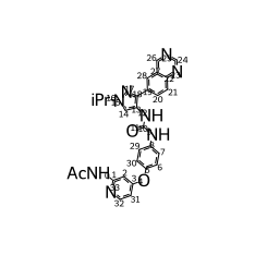 CC(=O)Nc1cc(Oc2ccc(NC(=O)Nc3cn(C(C)C)nc3-c3ccc4ncncc4c3)cc2)ccn1